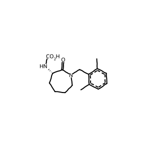 Cc1cccc(C)c1CN1CCCC[C@H](NC(=O)O)C1=O